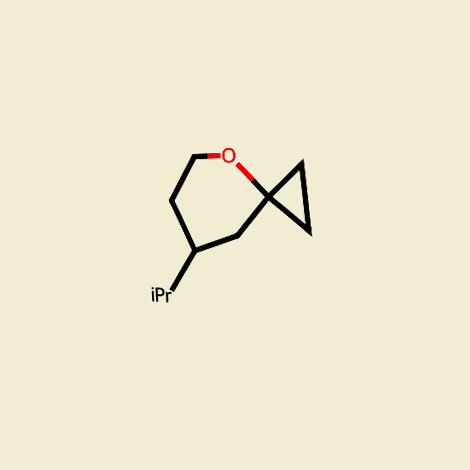 CC(C)C1CCOC2(CC2)C1